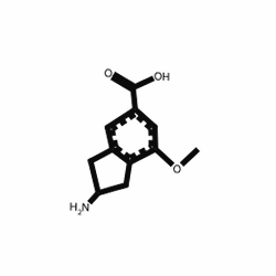 COc1cc(C(=O)O)cc2c1CC(N)C2